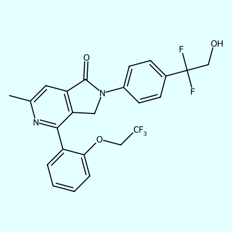 Cc1cc2c(c(-c3ccccc3OCC(F)(F)F)n1)CN(c1ccc(C(F)(F)CO)cc1)C2=O